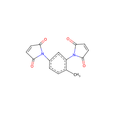 Cc1ccc(N2C(=O)C=CC2=O)cc1N1C(=O)C=CC1=O